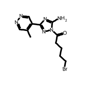 Cc1cnncc1-c1nc(N)n(C(=O)CCCCBr)n1